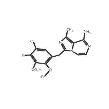 Cc1nc(Cc2cc(Cl)c(F)c(C(=O)O)c2OC(C)C)n2ccnc(N)c12